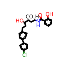 O=C(NCC[C@@H](C(=O)O)[C@H](O)CCc1ccc(-c2ccc(Cl)cc2)cc1)c1ccccc1O